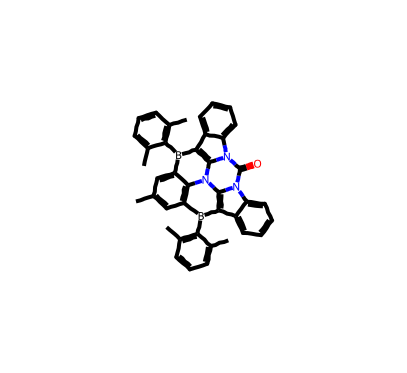 Cc1cc2c3c(c1)B(c1c(C)cccc1C)c1c4ccccc4n4c(=O)n5c6ccccc6c(c5n-3c14)B2c1c(C)cccc1C